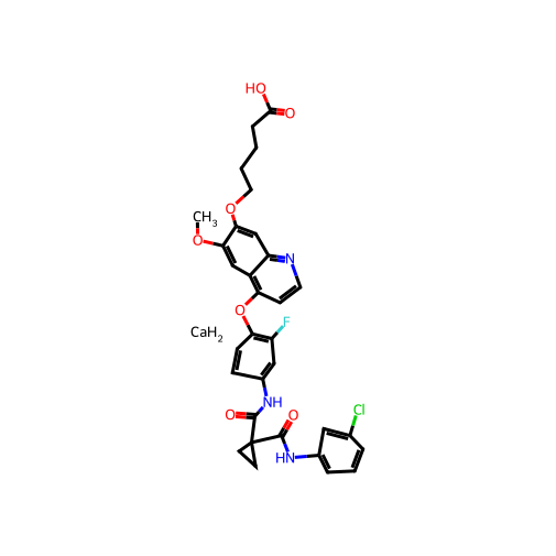 COc1cc2c(Oc3ccc(NC(=O)C4(C(=O)Nc5cccc(Cl)c5)CC4)cc3F)ccnc2cc1OCCCCC(=O)O.[CaH2]